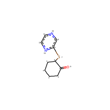 O=C1CCCCC1Sc1cnccn1